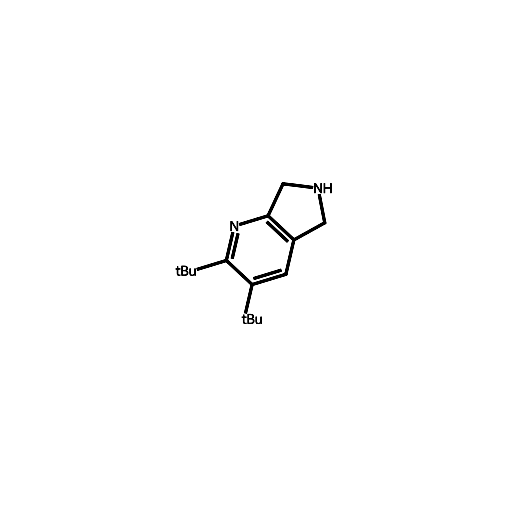 CC(C)(C)c1cc2c(nc1C(C)(C)C)CNC2